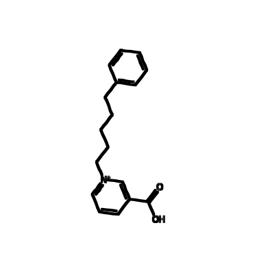 O=C(O)c1ccc[n+](CCCCCc2ccccc2)c1